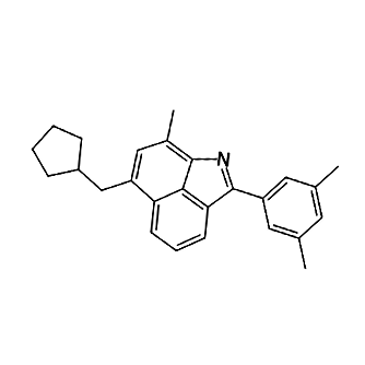 Cc1cc(C)cc(C2=Nc3c(C)cc(CC4CCCC4)c4cccc2c34)c1